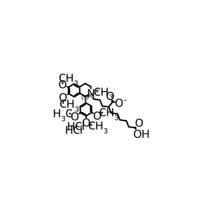 COc1cc2c(cc1OC)[C@H](c1cc(OC)c(OC)c(OC)c1)[N@+](C)(CCCC(CCCCCC(=O)O)C(=O)[O-])CC2.Cl.Cl